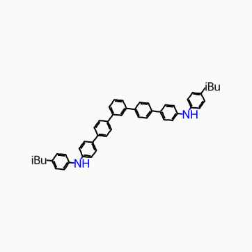 CCC(C)c1ccc(Nc2ccc(-c3ccc(-c4cccc(-c5ccc(-c6ccc(Nc7ccc(C(C)CC)cc7)cc6)cc5)c4)cc3)cc2)cc1